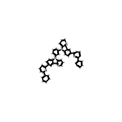 c1ccc(-c2cccc(-c3ccc4c(c3)c3ncccc3n4-c3cccc(-n4c5ccc(-c6cccc(-c7ccccc7)n6)cc5c5ncccc54)c3)n2)cc1